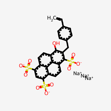 C=Cc1ccc(Cc2c(O)c3ccc4c(S(=O)(=O)[O-])cc(S(=O)(=O)[O-])c5ccc(c2S(=O)(=O)[O-])c3c45)cc1.[Na+].[Na+].[Na+]